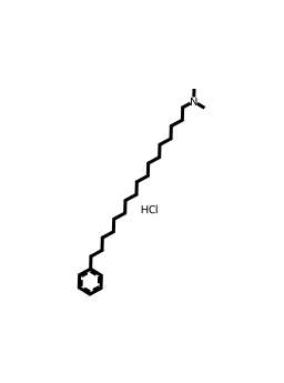 CN(C)CCCCCCCCCCCCCCCCCc1ccccc1.Cl